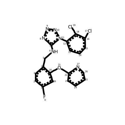 Fc1ccc(CNc2nnnn2-c2cccc(Cl)c2Cl)c(Oc2ccccn2)c1